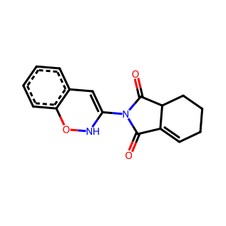 O=C1C2=CCCCC2C(=O)N1C1=Cc2ccccc2ON1